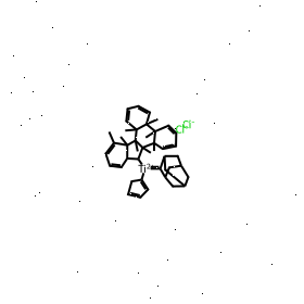 CC1=CC=CC2[CH]([Ti+2]([C]3=CC=CC3)=[C]3C4CC5CC(C4)CC3C5)C3(C)C4(C)C=CC=CC4(C)C4(C)C=CC=CC4(C)C3(C)C12C.[Cl-].[Cl-]